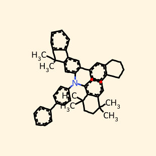 CC1(C)CCC(C)(C)c2c(N(c3ccc(-c4ccccc4)cc3)c3cc4c(cc3-c3ccc5c(c3)CCCC5)-c3ccccc3C4(C)C)cccc21